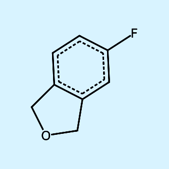 Fc1ccc2c(c1)COC2